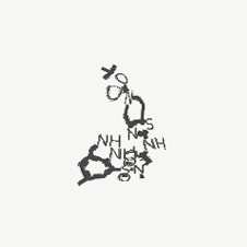 Cc1cc(C=N)c(N)c(S(=O)(=O)N(C)CC(=O)Nc2nc3c(s2)CCN(C(=O)OC(C)(C)C)C3)c1